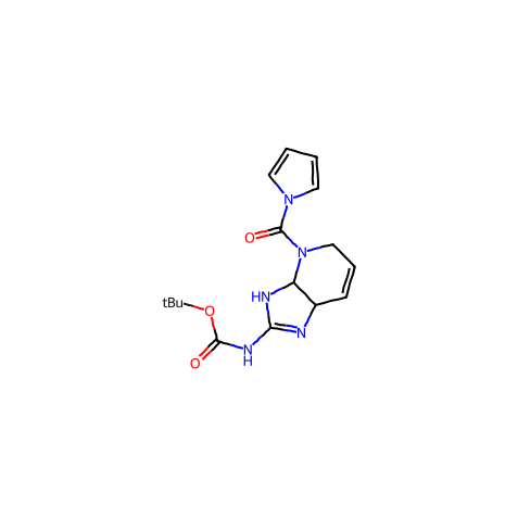 CC(C)(C)OC(=O)NC1=NC2C=CCN(C(=O)n3cccc3)C2N1